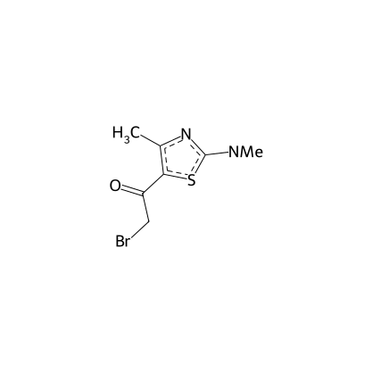 CNc1nc(C)c(C(=O)CBr)s1